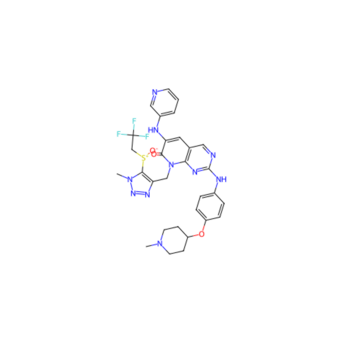 CN1CCC(Oc2ccc(Nc3ncc4cc(Nc5cccnc5)c(=O)n(Cc5nnn(C)c5[S+]([O-])CC(F)(F)F)c4n3)cc2)CC1